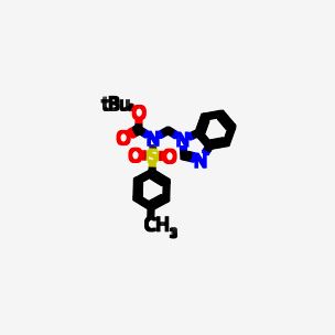 Cc1ccc(S(=O)(=O)N(Cn2cnc3ccccc32)C(=O)OC(C)(C)C)cc1